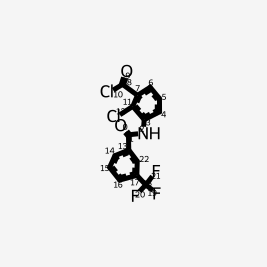 O=C(Nc1cccc(C(=O)Cl)c1Cl)c1cccc(C(F)(F)F)c1